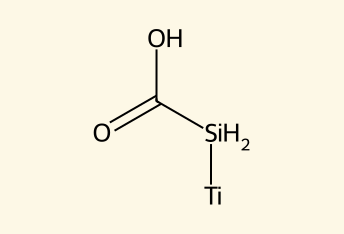 O=C(O)[SiH2][Ti]